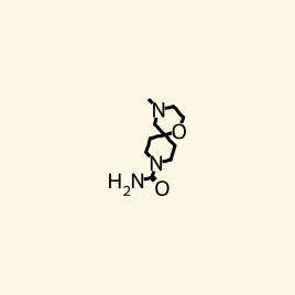 CN1CCOC2(CCN(C(N)=O)CC2)C1